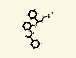 CNCCC(Oc1ccccc1NC(=O)c1ccccc1)c1ccccc1